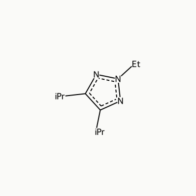 CCn1nc(C(C)C)c(C(C)C)n1